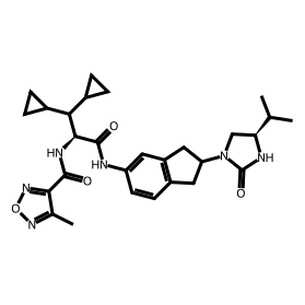 Cc1nonc1C(=O)N[C@H](C(=O)Nc1ccc2c(c1)CC(N1C[C@@H](C(C)C)NC1=O)C2)C(C1CC1)C1CC1